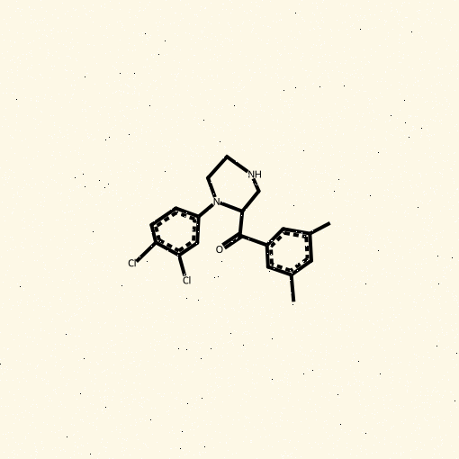 Cc1cc(C)cc(C(=O)C2CNCCN2c2ccc(Cl)c(Cl)c2)c1